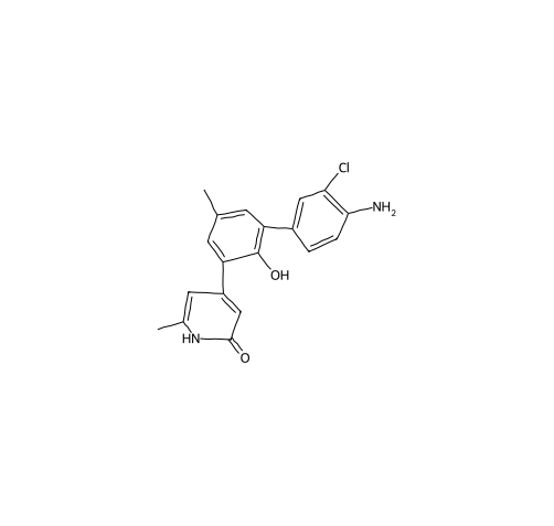 Cc1cc(-c2ccc(N)c(Cl)c2)c(O)c(-c2cc(C)[nH]c(=O)c2)c1